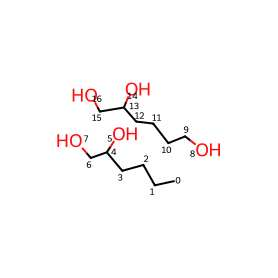 CCCCC(O)CO.OCCCCC(O)CO